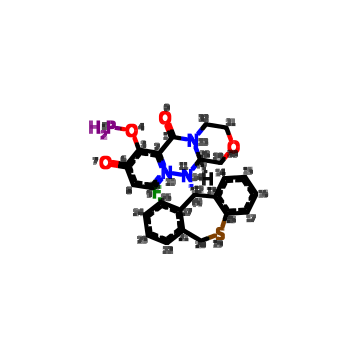 O=C1c2c(OP)c(=O)ccn2N([C@@H]2c3ccccc3SCc3cccc(F)c32)[C@@H]2COCCN12